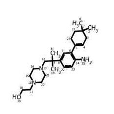 CC1(C)CC=C(c2cc(C(C)(C)CN3CCN(CCO)CC3)ccc2N)CC1